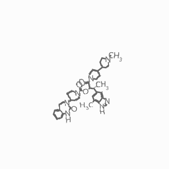 Cc1cc([C@@H](C)C(OC(=O)N2CCC(N3CCc4ccccc4NC3=O)CC2)C(=O)N2CCC(C3CCN(C)CC3)CC2)cc2nc[nH]c12